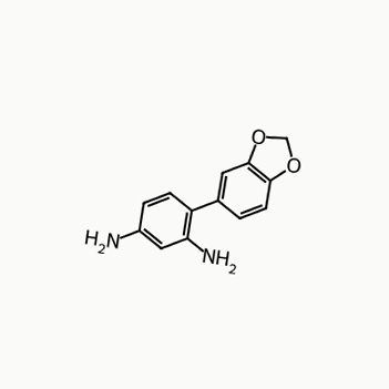 Nc1ccc(-c2ccc3c(c2)OCO3)c(N)c1